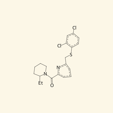 CCC1CCCCN1C(=O)c1cccc(CSc2ccc(Cl)cc2Cl)n1